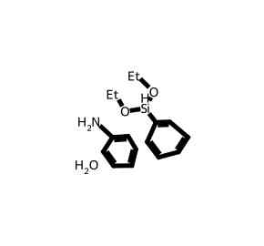 CCO[SiH](OCC)c1ccccc1.Nc1ccccc1.O